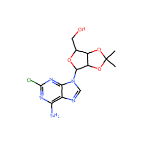 CC1(C)OC2C(CO)OC(n3cnc4c(N)nc(Cl)nc43)C2O1